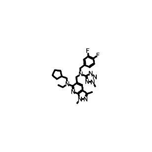 CCN(CC1CCCC1)c1nc2c(cc1CN(Cc1ccc(F)c(F)c1)c1nnn(C)n1)c(C)nn2C